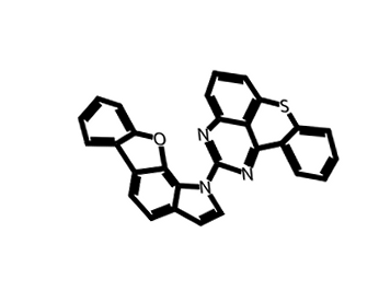 c1ccc2c(c1)Sc1cccc3nc(-n4ccc5ccc6c7ccccc7oc6c54)nc-2c13